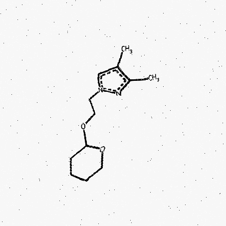 Cc1cn(CCOC2CCCCO2)nc1C